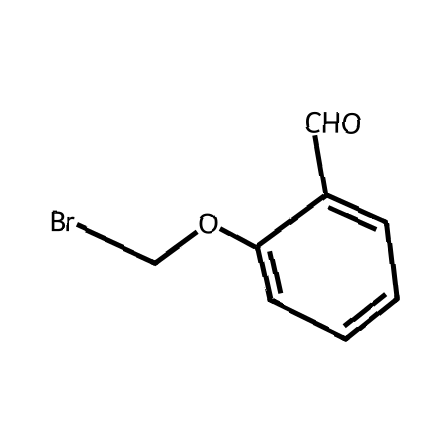 O=Cc1ccccc1OCBr